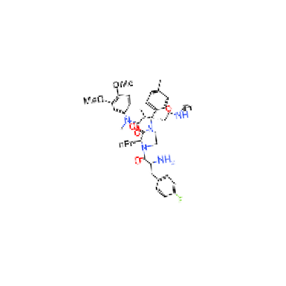 CCC[C@H]1C(=O)N([C@](CC(=O)NC(C)C)(c2ccc(C)cc2)C(C)C(=O)N(C)c2ccc(OC)c(OC)c2)CCN1C(=O)C(N)Cc1ccc(F)cc1